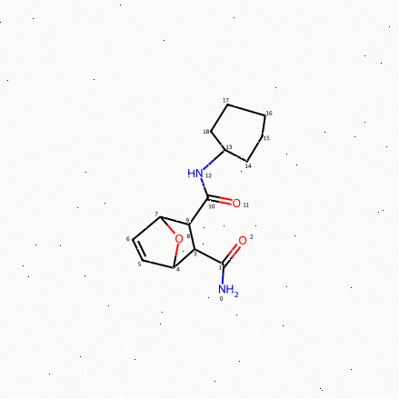 NC(=O)C1C2C=CC(O2)C1C(=O)NC1CCCCC1